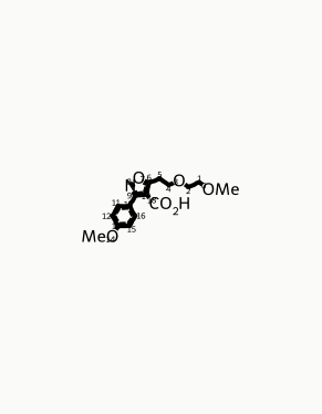 COCCOCCc1onc(-c2ccc(OC)cc2)c1C(=O)O